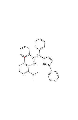 CC(C)c1cccc(C(C)C)c1N[C@@H](c1ccccc1)[C@@H](c1ccccc1)n1ccc(-c2ccccc2)n1